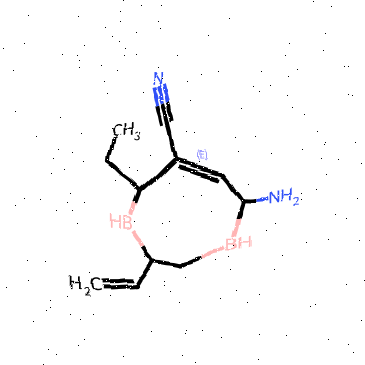 C=CC1BC(CC)/C(C#N)=C\C(N)BC1